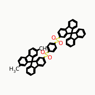 Cc1ccc2c(c1)C1(c3ccccc3-c3ccc(S(=O)(=O)c4ccc(S(=O)(=O)c5ccc6c(c5)C5(c7ccccc7-c7ccccc75)c5ccccc5-6)cc4)cc31)c1cc(C)ccc1-2